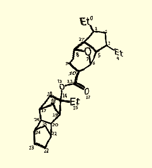 CCC1CC(CC)C2C3OC(CC3C(=O)OC3(CC)CC4CC3C3C5CCC(C5)C43)C12